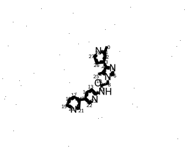 Cc1cc(-c2ncn(CC(=O)Nc3ccc(-c4cccnc4)cn3)c2C)ccn1